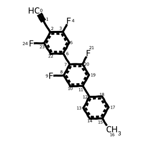 C#Cc1c(F)cc(-c2c(F)cc(-c3ccc(C)cc3)cc2F)cc1F